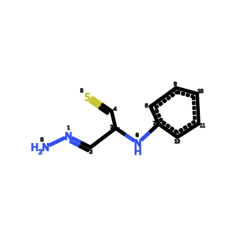 NN=C[C](C=S)Nc1ccccc1